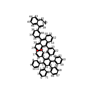 c1ccc(-c2c(-c3ccccc3)c(-c3ccccc3)c(-c3cccc(-c4c5ccccc5c(-c5cccc(-c6cncc7ccccc67)c5)c5ccccc45)c3)c(-c3ccccc3)c2-c2ccccc2)cc1